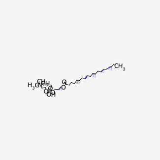 CC/C=C/C/C=C/C/C=C/C/C=C/C/C=C/CCCC(=O)O/C=C/COP(=O)(O)OCC[N+](C)(C)C